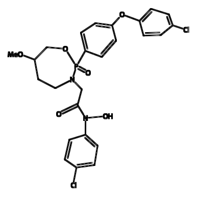 COC1CCN(CC(=O)N(O)c2ccc(Cl)cc2)P(=O)(c2ccc(Oc3ccc(Cl)cc3)cc2)OC1